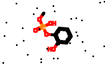 COP(=O)(O)Oc1ccccc1O